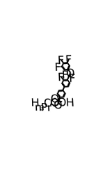 CCCC1(C)COC(O)(c2ccc(-c3ccc(C(F)(F)Oc4cc(F)c(F)c(F)c4)c(F)c3)cc2)OC1